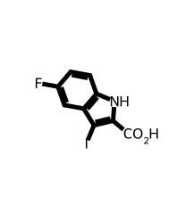 O=C(O)c1[nH]c2ccc(F)cc2c1I